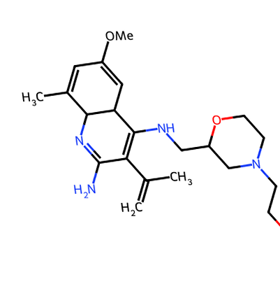 C=C(C)C1=C(NCC2CN(CCO)CCO2)C2C=C(OC)C=C(C)C2N=C1N